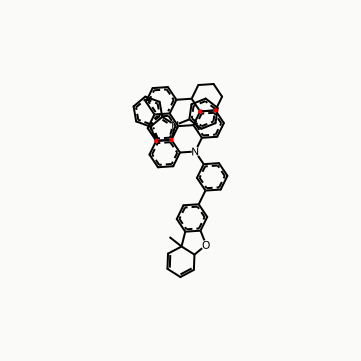 CC12C=CC=CC1Oc1cc(-c3cccc(N(c4ccccc4-c4cccc5cccc(C6CCCCC6)c45)c4cccc5c6ccccc6n(-c6ccccc6)c45)c3)ccc12